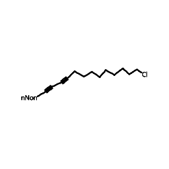 CCCCCCCCCC#CC#CCCCCCCCCCCl